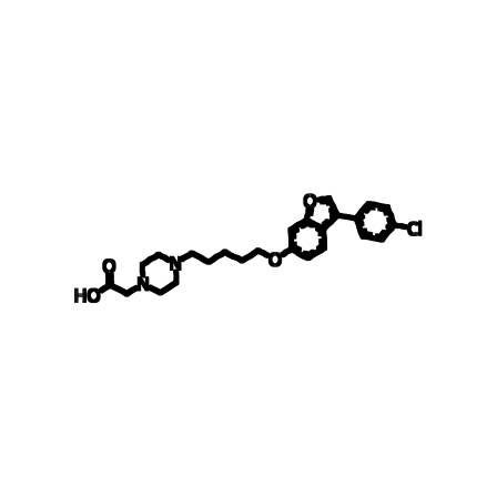 O=C(O)CN1CCN(CCCCCOc2ccc3c(-c4ccc(Cl)cc4)coc3c2)CC1